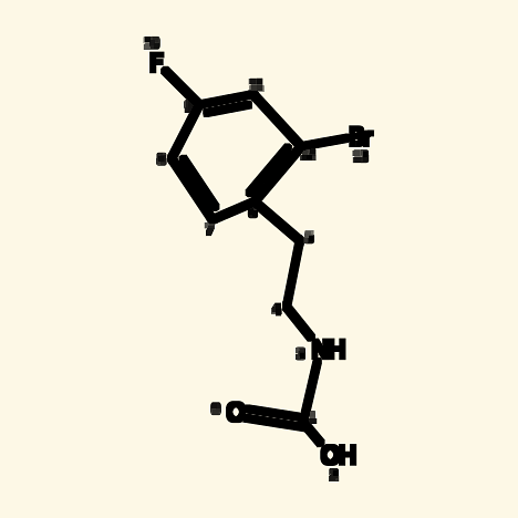 O=C(O)NCCc1ccc(F)cc1Br